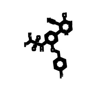 N#Cc1c(Cl)ncnc1-c1ccc(NS(=O)(=O)C(F)F)c(OCc2ccc(F)cc2)c1